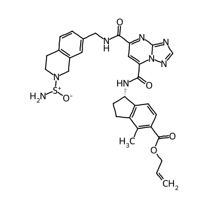 C=CCOC(=O)c1ccc2c(c1C)CC[C@@H]2NC(=O)c1cc(C(=O)NCc2ccc3c(c2)CN([S+](N)[O-])CC3)nc2ncnn12